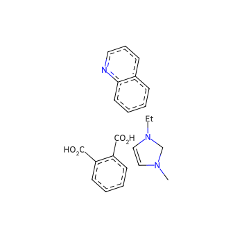 CCN1C=CN(C)C1.O=C(O)c1ccccc1C(=O)O.c1ccc2ncccc2c1